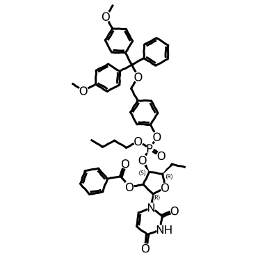 CCCCOP(=O)(Oc1ccc(COC(c2ccccc2)(c2ccc(OC)cc2)c2ccc(OC)cc2)cc1)O[C@@H]1C(OC(=O)c2ccccc2)[C@H](n2ccc(=O)[nH]c2=O)O[C@@H]1CC